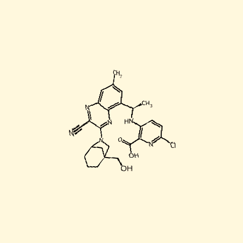 Cc1cc([C@@H](C)Nc2ccc(Cl)nc2C(=O)O)c2nc(N3CC4(CO)CCCC3C4)c(C#N)nc2c1